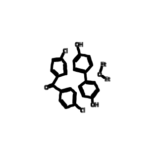 CCOCC.O=C(c1ccc(Cl)cc1)c1ccc(Cl)cc1.Oc1ccc(-c2ccc(O)cc2)cc1